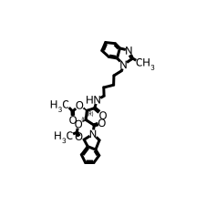 CC(=O)O[C@@H](C(=O)NCCCCCn1c(C)nc2ccccc21)[C@@H](OC(C)=O)C(=O)N1Cc2ccccc2C1